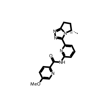 COc1ccc(C(=O)Nc2cccc(-c3nnc4n3[C@@H](C)CC4)n2)nc1